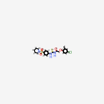 Cc1cc(Cl)ccc1OCC(=O)NC(=S)Nc1ccc(S(=O)(=O)N2CCCCC2)cc1